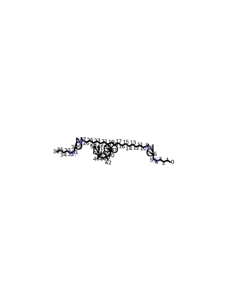 CCCC/C=C\CO/N=C\CCCCCCCCC(CCCCCCCC/C=N\OC/C=C\CCCC)OC(=O)CC(C)(C)CC(C)(C)CN(C)C